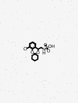 O=S(=O)(O)NCC1OC2(CCCCC2)Oc2c(Cl)cccc21